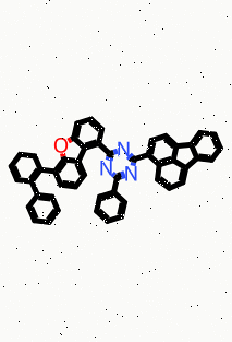 C1=CC(c2ccccc2)=C(c2cccc3c2oc2cccc(-c4nc(-c5ccccc5)nc(-c5ccc6c7c(cccc57)-c5ccccc5-6)n4)c23)CC1